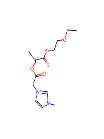 CCOCCOC(=O)C(C)OC(=O)C[n+]1ccn(C)c1